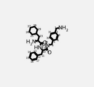 NCc1ccc(CNC(=O)C(Cc2ccccc2)NC(=O)C(N)CC2CCCCC2)cc1